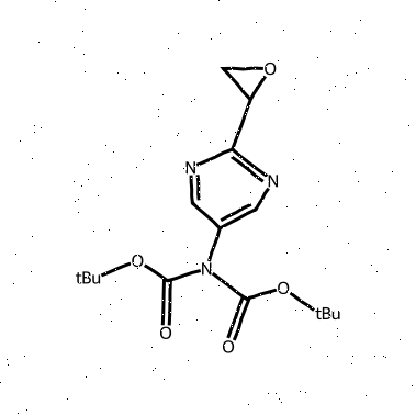 CC(C)(C)OC(=O)N(C(=O)OC(C)(C)C)c1cnc(C2CO2)nc1